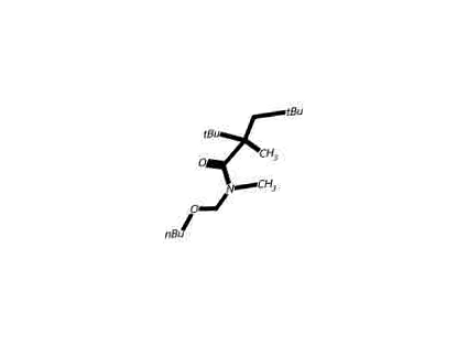 CCCCOCN(C)C(=O)C(C)(CC(C)(C)C)C(C)(C)C